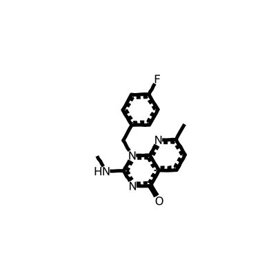 CNc1nc(=O)c2ccc(C)nc2n1Cc1ccc(F)cc1